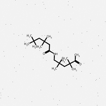 CC(=O)C(C)(C)CC(C)(C)CNC(=O)CC(C)(C)CC(C)(C)C